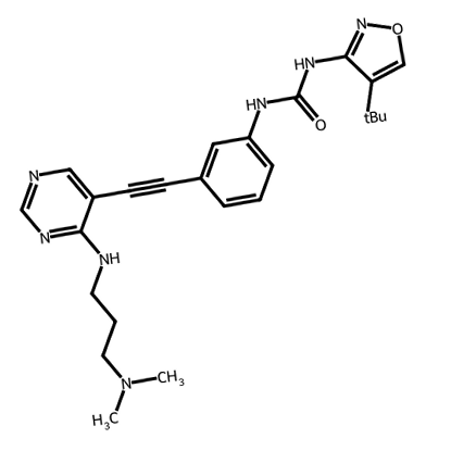 CN(C)CCCNc1ncncc1C#Cc1cccc(NC(=O)Nc2nocc2C(C)(C)C)c1